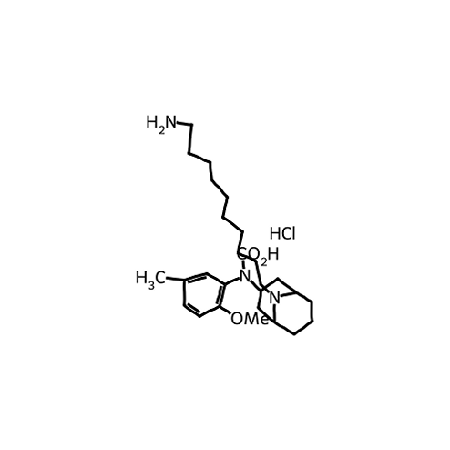 COc1ccc(C)cc1N(C(=O)O)C1CC2CCCC(C1)N2CCCCCCCCCCN.Cl